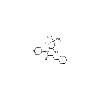 CC(C)(C)OC(=O)NC(CC1CCCCC1)C(=O)Nc1ccncc1